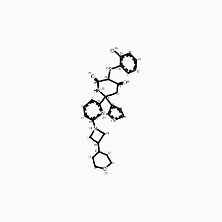 O=C1CC(c2ccsc2)(c2cccc(N3CC(C4CCOCC4)C3)n2)NC(=O)C1Sc1ccccc1Cl